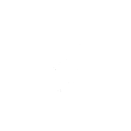 Cc1c(Cl)ccnc1C(S)C1(O)CCC(F)(F)CC1